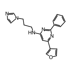 c1ccc(-c2nc(NCCCn3ccnc3)cc(-c3ccoc3)n2)cc1